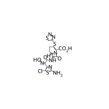 Nc1nc(/C(=N/O)C(=O)N[C@@H]2C(=O)N3C(C(=O)O)=C(Sc4csnn4)CC[C@H]23)c(Cl)s1